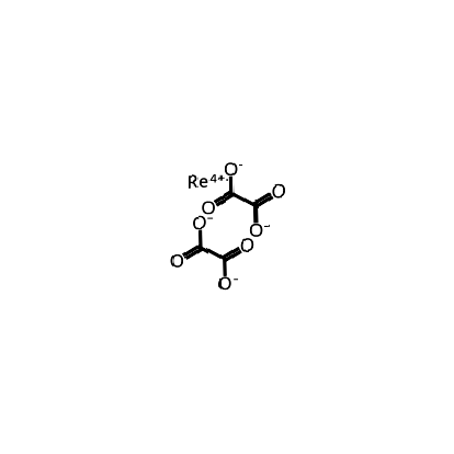 O=C([O-])C(=O)[O-].O=C([O-])C(=O)[O-].[Re+4]